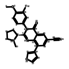 COc1ccc(-n2c([C@H]3CCCN3C)nc3c(-c4ccoc4)cc(C#N)cc3c2=O)cc1F